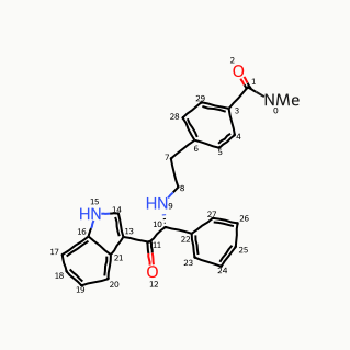 CNC(=O)c1ccc(CCN[C@@H](C(=O)c2c[nH]c3ccccc23)c2ccccc2)cc1